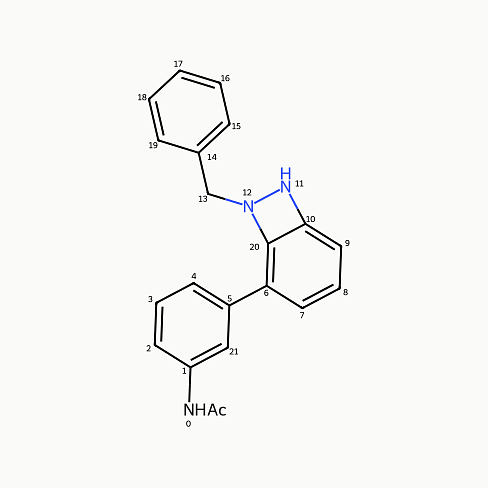 CC(=O)Nc1cccc(-c2cccc3[nH]n(Cc4ccccc4)c23)c1